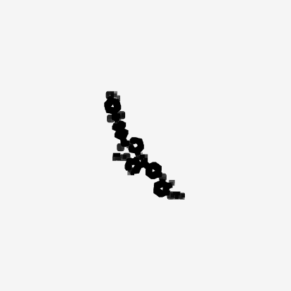 COc1cccc(Oc2ccc(-c3nn(C4CCCN(C(=O)C5CC6(C5)CN(S(=O)(=O)c5ccc(C)cc5)C6)C4)c4c(OC)cncc34)cc2)c1F